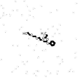 C=CC(=O)OC(COCCOCCOCCO)Oc1ccccc1